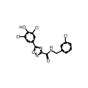 O=C(NCc1cccc(Cl)c1)c1noc(-c2cc(Cl)c(O)c(Cl)c2)n1